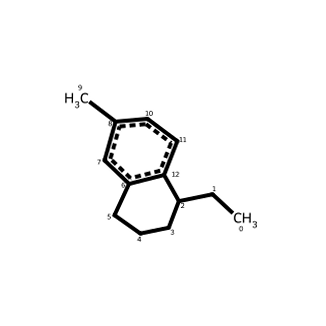 CCC1CCCc2cc(C)ccc21